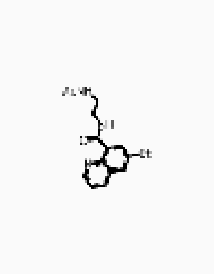 CCc1cc(C(=O)NCCNC(C)=O)c2ncccc2c1